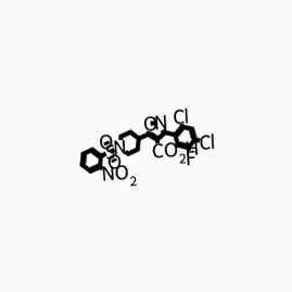 O=C(O)c1c(-c2cc(F)c(Cl)cc2Cl)noc1C1CCN(S(=O)(=O)c2ccccc2[N+](=O)[O-])CC1